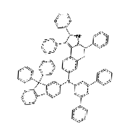 C1=C(c2ccccc2)N2NC(c3ccccc3)C(c3ccccc3)=C2c2ccc(N(c3cc(-c4ccccc4)cc(-c4ccccc4)c3)c3ccc4c(c3)C(c3ccccc3)(c3ccccc3)c3ccccc3-4)cc21